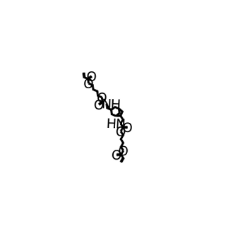 C=CC(=O)OCCCCOC(=O)NCC1CC2CC(CNC(=O)OCCCCOC(=O)C=C)C(C1)C2